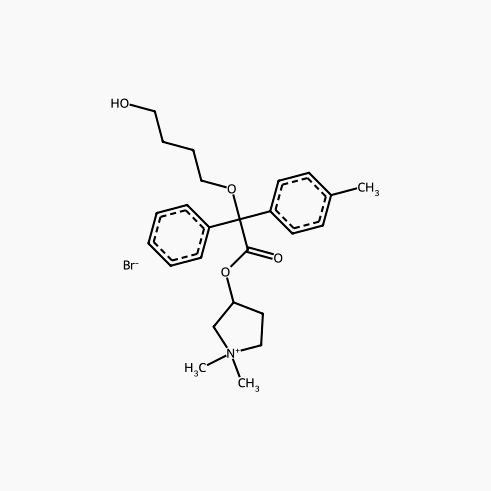 Cc1ccc(C(OCCCCO)(C(=O)OC2CC[N+](C)(C)C2)c2ccccc2)cc1.[Br-]